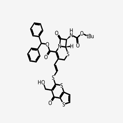 CC(C)(C)OC(=O)N[C@@H]1C(=O)N2C(C(=O)OC(c3ccccc3)c3ccccc3)=C(C=CSc3sc4ccsc4c(=O)c3CO)CS[C@@H]12